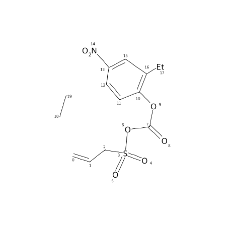 C=CCS(=O)(=O)OC(=O)Oc1ccc([N+](=O)[O-])cc1CC.CC